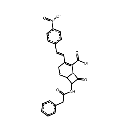 O=C(Cc1ccccc1)NC1C(=O)N2C(C(=O)O)=C(/C=C/c3ccc([N+](=O)[O-])cc3)CSC12